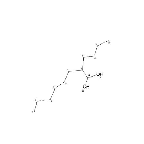 CCCCCCC(CCCC)C(O)O